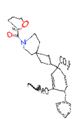 COC1=CC(C(=O)O)(C2CC3(CCN(C(=O)[C@H]4CCCO4)CC3)C2)C=CC1c1ccccc1